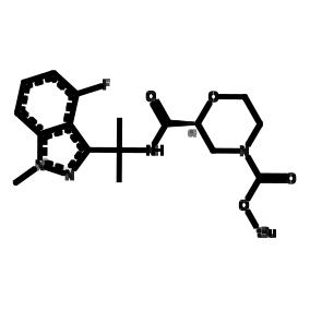 Cn1nc(C(C)(C)NC(=O)[C@@H]2CN(C(=O)OC(C)(C)C)CCO2)c2c(F)cccc21